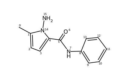 Cc1ccc(C(=O)Nc2ccccc2)n1N